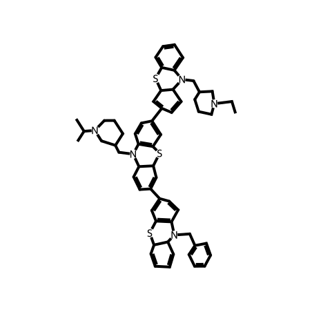 CCN1CCCC(CN2c3ccccc3SC3C=C(c4ccc5c(c4)SC4C=C(c6ccc7c(c6)SC6C=CC=CC6N7Cc6ccccc6)C=CC4N5CC4CCCN(C(C)C)C4)C=CC32)C1